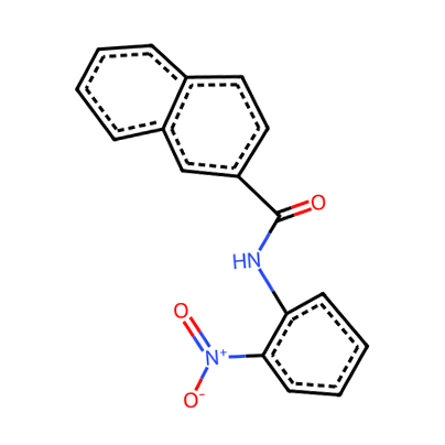 O=C(Nc1ccccc1[N+](=O)[O-])c1ccc2ccccc2c1